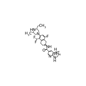 CCC1CN(c2cc(F)c3c(c2C(F)F)CC[C@@H](NC(=O)c2cnc4c(c2)[C@H]2C[C@H]2CN4)C3)CC(C)N1